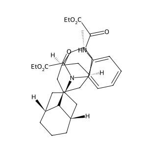 CCOC(=O)C(=O)Nc1ccccc1N(C(=O)C(=O)OCC)[C@@H]1C[C@H]2CCC[C@@H](C1)C2[C@@H]1C[C@@H]2C[C@@H](C)C[C@@H](C2)C1